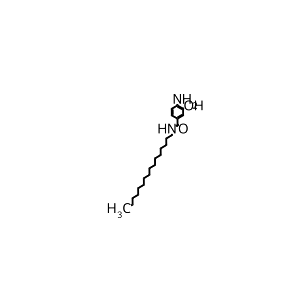 CCCCCCCCCCCCCCCCNC(=O)c1ccc(N)c(O)c1